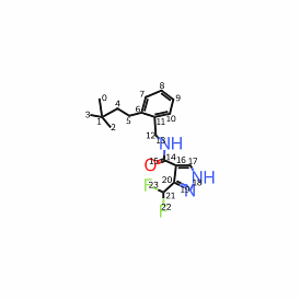 CC(C)(C)CCc1ccccc1CNC(=O)c1c[nH]nc1C(F)F